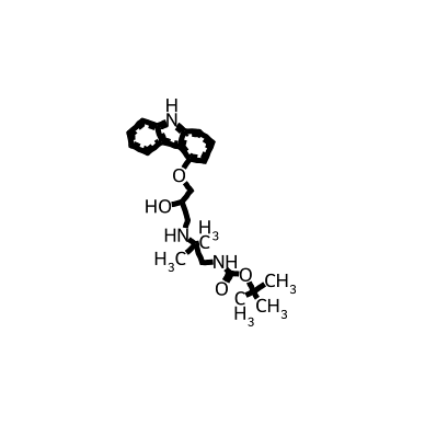 CC(C)(CNC(=O)OC(C)(C)C)NCC(O)COc1cccc2[nH]c3ccccc3c12